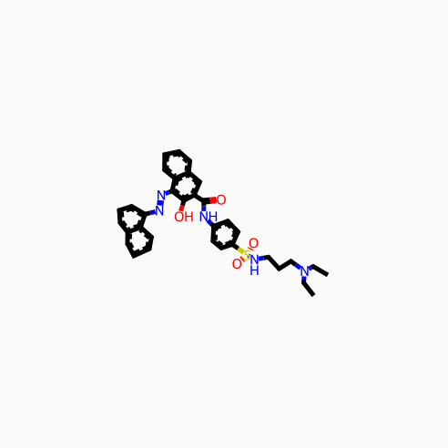 CCN(CC)CCCNS(=O)(=O)c1ccc(NC(=O)c2cc3ccccc3c(N=Nc3cccc4ccccc34)c2O)cc1